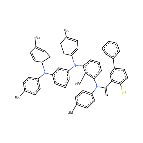 C=C(c1cc(-c2ccccc2)ccc1S)N(c1ccc(C(C)(C)C)cc1)c1cccc(N(C2=CC=C(C(C)(C)C)CC2)c2cccc(N(c3ccc(C(C)(C)C)cc3)C3C=CC(C(C)(C)C)=CC3)c2)c1CCC